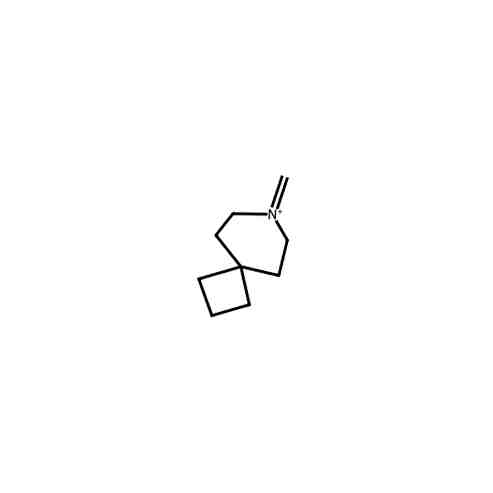 C=[N+]1CCC2(CCC2)CC1